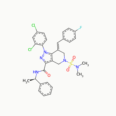 C[C@@H](NC(=O)c1nn(-c2ccc(Cl)cc2Cl)c2c1CN(S(=O)(=O)N(C)C)C/C2=C\c1ccc(F)cc1)c1ccccc1